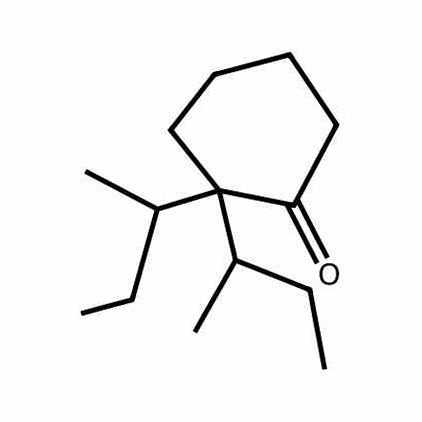 CCC(C)C1(C(C)CC)CCCCC1=O